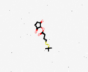 CC(C)(C)SSCCCC(=O)OC1C(=O)CCC1=O